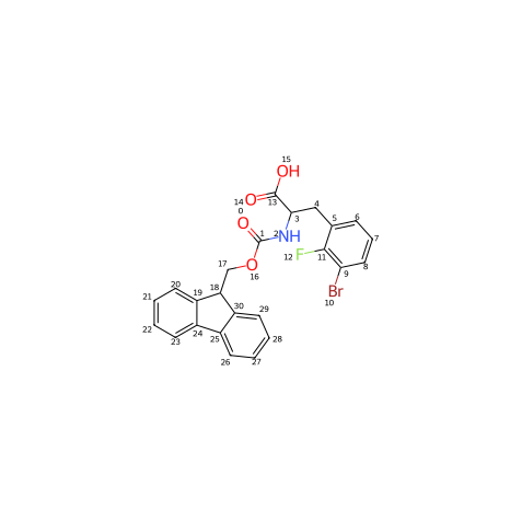 O=C(NC(Cc1cccc(Br)c1F)C(=O)O)OCC1c2ccccc2-c2ccccc21